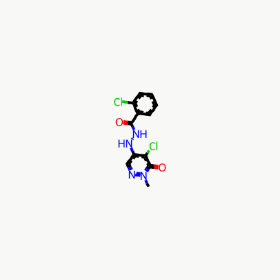 Cn1ncc(NNC(=O)c2ccccc2Cl)c(Cl)c1=O